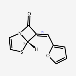 O=C1/C(=C/c2ccco2)[C@@H]2SC=CN12